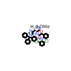 CON(C)C(=O)[C@H](Cc1cn(C(c2ccccc2)(c2ccccc2)c2ccccc2)cn1)NC(=O)Cc1ccccc1Nc1c(Cl)cccc1Cl